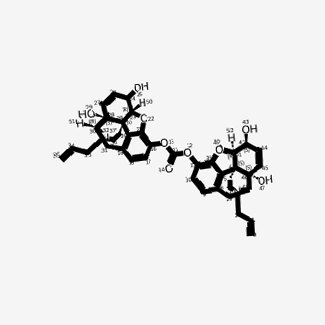 C=CCN1CC[C@]23c4c5ccc(OC(=O)Oc6ccc7c8c6O[C@H]6C(O)C=C[C@@]9(O)[C@@H](C7)N(CC=C)CC[C@]869)c4O[C@H]2[C@@H](O)C=C[C@@]3(O)C1C5